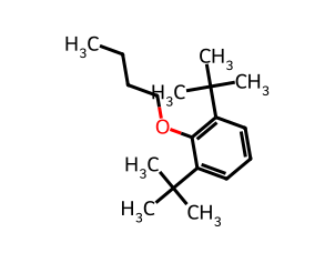 CCCCOc1c(C(C)(C)C)cccc1C(C)(C)C